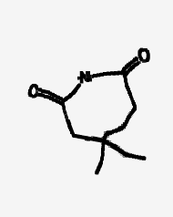 CC1(C)CC(=O)[N]C(=O)C1